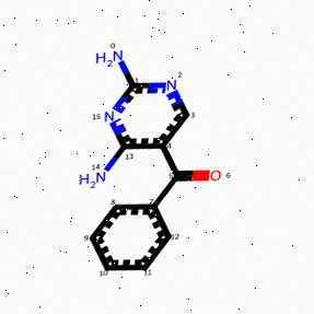 Nc1ncc(C(=O)c2ccccc2)c(N)n1